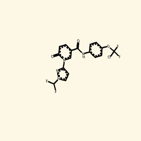 O=C(Nc1ccc(OC(F)(F)Cl)cc1)c1ccc(=O)n(-c2ccn(C(F)F)n2)c1